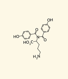 NCCCC(C(=O)O)N(C(=O)c1ccc(O)cc1)C(=O)c1ccc(O)cc1